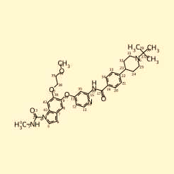 CNC(=O)n1ccc2cc(Oc3ccnc(NC(=O)c4ccc(C5CCN(C(C)(C)C)CC5)cc4)c3)c(OCCOC)cc21